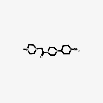 CN1CCN(CC(=O)N2CCN(C3CCN(N)CC3)CC2)CC1